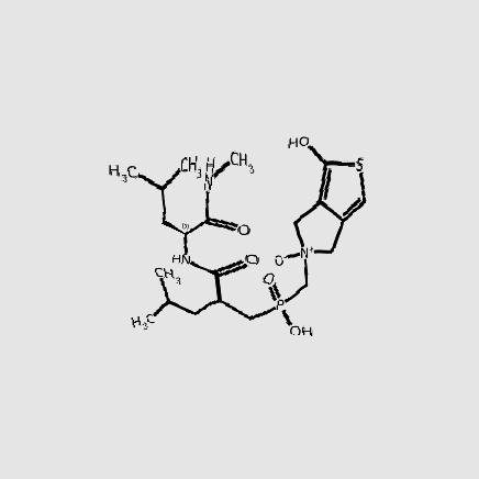 CNC(=O)[C@H](CC(C)C)NC(=O)C(CC(C)C)CP(=O)(O)C[N+]1([O-])Cc2csc(O)c2C1